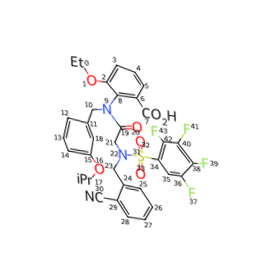 CCOc1cccc(C(=O)O)c1N(Cc1cccc(OC(C)C)c1)C(=O)CN(Cc1ccccc1C#N)S(=O)(=O)c1cc(F)c(F)c(F)c1F